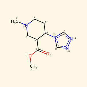 COC(=O)C1CN(C)CCC1n1cnnc1